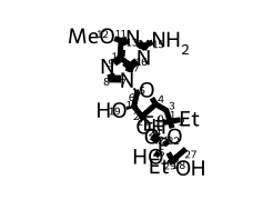 CCC(CC)(CC1O[C@@H](n2cnc3c(OC)nc(N)nc32)[C@H](O)[C@@H]1O)OP(=O)(O)C(C)(O)CC